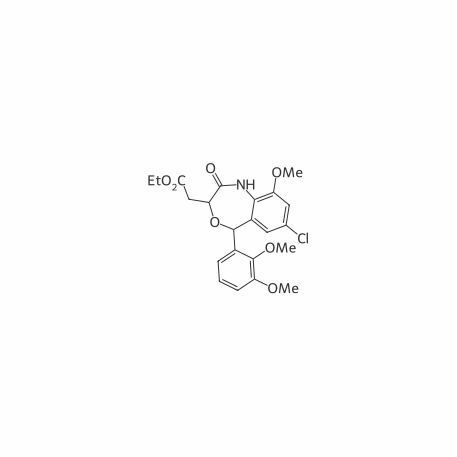 CCOC(=O)CC1OC(c2cccc(OC)c2OC)c2cc(Cl)cc(OC)c2NC1=O